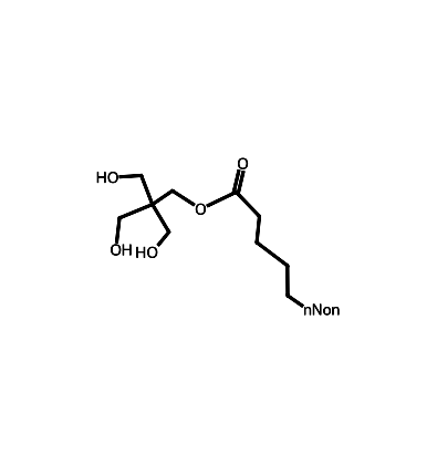 CCCCCCCCCCCCCC(=O)OCC(CO)(CO)CO